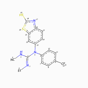 CCN=C(NC#N)N(c1ccc(C(F)(F)F)cc1)c1ccc2nc(S)sc2c1